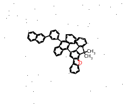 CC1(C)c2ccccc2-c2c(-c3c4ccccc4c(-c4cccc(-c5ccc6ccccc6c5)c4)c4ccccc34)cc3c(oc4ccccc43)c21